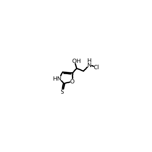 OC(CNCl)c1c[nH]c(=S)o1